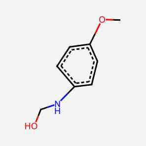 COc1ccc(NCO)cc1